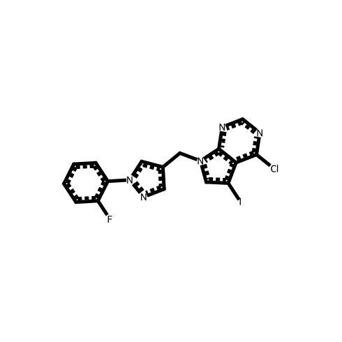 Fc1ccccc1-n1cc(Cn2cc(I)c3c(Cl)ncnc32)cn1